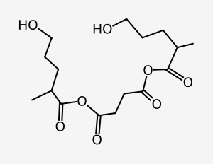 CC(CCCO)C(=O)OC(=O)CCC(=O)OC(=O)C(C)CCCO